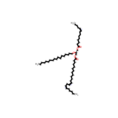 CCCC/C=C\CCCCCCCC(=O)OC[C@@H](COC(=O)CCCCCCCCCCC/C=C\C/C=C\CCCCC)OCCCCCCCCCCCCCCCCCC